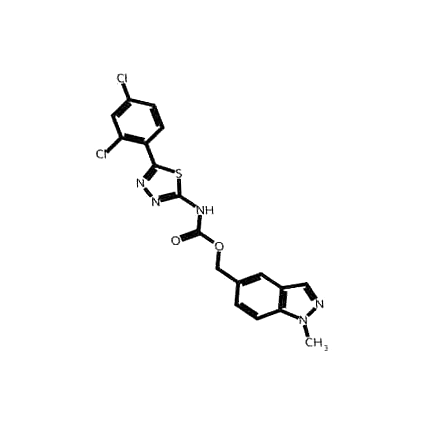 Cn1ncc2cc(COC(=O)Nc3nnc(-c4ccc(Cl)cc4Cl)s3)ccc21